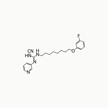 N#CN/C(=N\c1cccnc1)NCCCCCCCCOc1cccc(F)c1